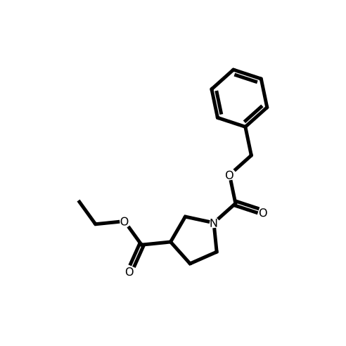 CCOC(=O)C1CCN(C(=O)OCc2ccccc2)C1